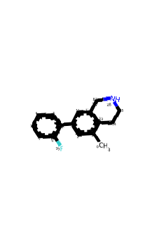 Cc1cc(-c2ccccc2F)cc2c1CCNC2